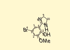 COc1cc(Br)cc(C2=NCCN2)c1O